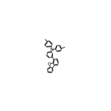 Cc1ccc(N(c2ccc(C)cc2)c2cccc(-c3cccc4c3oc3ccccc34)c2)cc1